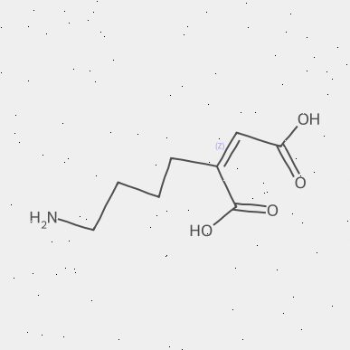 NCCCC/C(=C/C(=O)O)C(=O)O